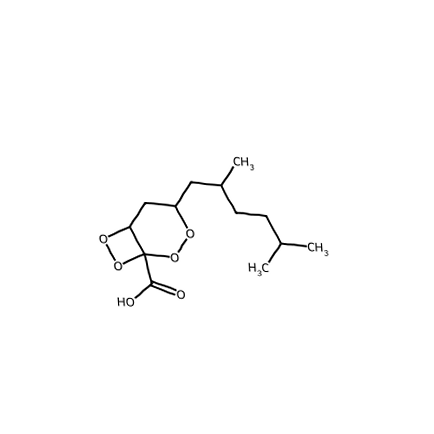 CC(C)CCC(C)CC1CC2OOC2(C(=O)O)OO1